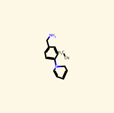 CC#N.NCc1ccc(N2C=CC=CC2)cc1